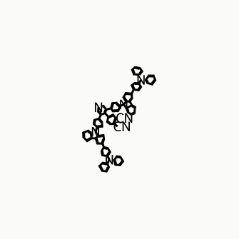 N#Cc1ccc(-c2c(-c3ccc(-n4c5ccccc5c5cc(-c6ccc(N(c7ccccc7)c7ccccc7)cc6)ccc54)cc3)cncc2-c2ccc(-n3c4ccccc4c4cc(-c5ccc(N(c6ccccc6)c6ccccc6)cc5)ccc43)cc2)cc1C#N